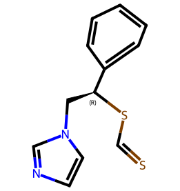 S=CS[C@@H](Cn1ccnc1)c1ccccc1